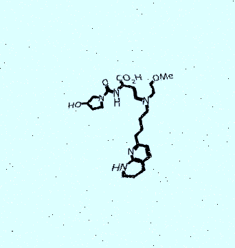 COCCN(CCCCc1ccc2c(n1)NCCC2)CCC(NC(=O)N1CCC(O)C1)C(=O)O